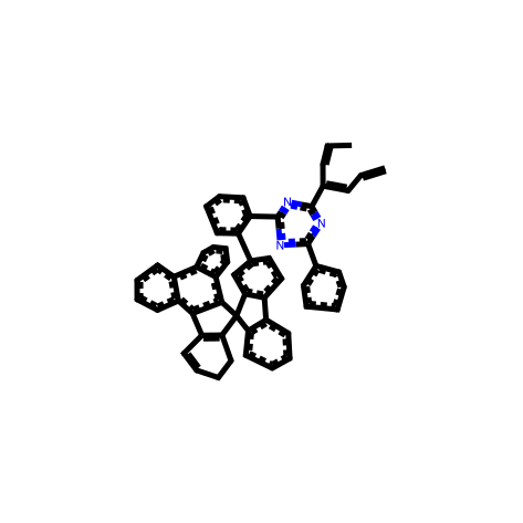 C=C/C=C(\C=C/C)c1nc(-c2ccccc2)nc(-c2ccccc2-c2ccc3c(c2)C2(C4=C(C=CCC4)c4c2c2ccccc2c2ccccc42)c2ccccc2-3)n1